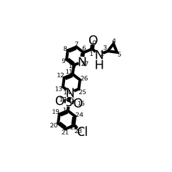 O=C(NC1CC1)c1cccc(C2=CCN(S(=O)(=O)c3cccc(Cl)c3)CC2)n1